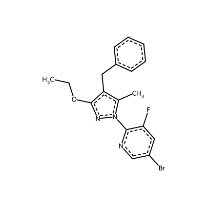 CCOc1nn(-c2ncc(Br)cc2F)c(C)c1Cc1ccccc1